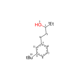 CCC(O)CCc1cccc(C(C)(C)C)c1